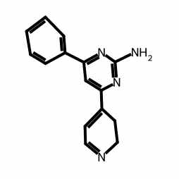 Nc1nc(C2=CC=NCC2)cc(-c2ccccc2)n1